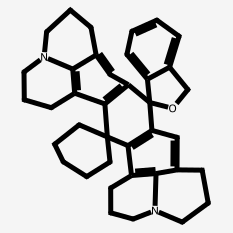 c1ccc2c(c1)COC21c2cc3c4c(c2C2(CCCCC2)c2c1cc1c5c2CCCN5CCC1)CCCN4CCC3